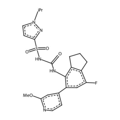 COc1cc(-c2cc(F)c3c(c2NC(=O)NS(=O)(=O)c2ccn(C(C)C)n2)CCC3)ccn1